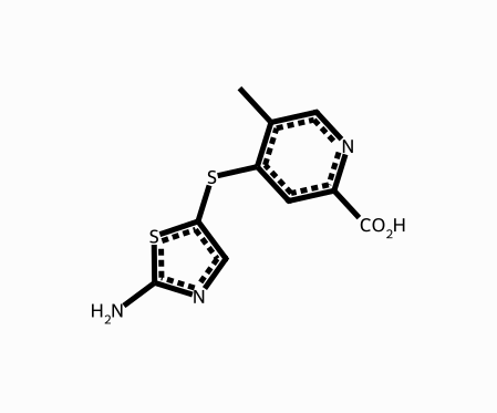 Cc1cnc(C(=O)O)cc1Sc1cnc(N)s1